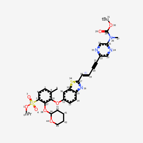 CCCOS(=O)(=O)c1ccc(C)c(Oc2ccc3nc(/C=C/C#Cc4cnc(N(C)C(=O)OC(C)(C)C)cn4)sc3c2)c1OC1CCCCO1